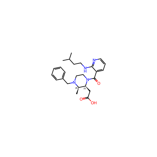 CC(C)CCNc1ncccc1C(=O)N1CCN(Cc2ccccc2)[C@H](C)[C@@H]1CC(=O)O